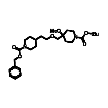 COC1(COCCC2CCN(C(=O)OCc3ccccc3)CC2)CCN(C(=O)OC(C)(C)C)CC1